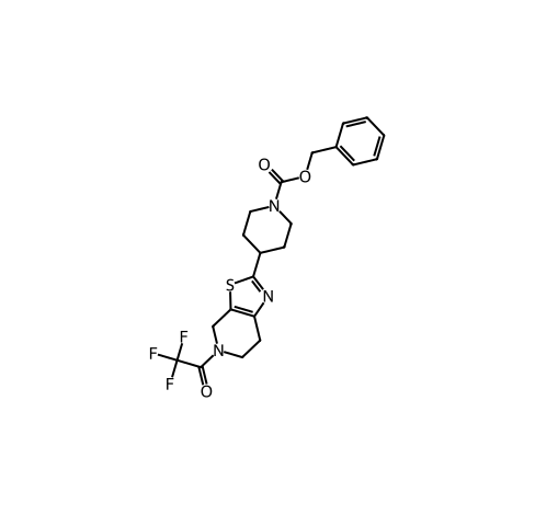 O=C(OCc1ccccc1)N1CCC(c2nc3c(s2)CN(C(=O)C(F)(F)F)CC3)CC1